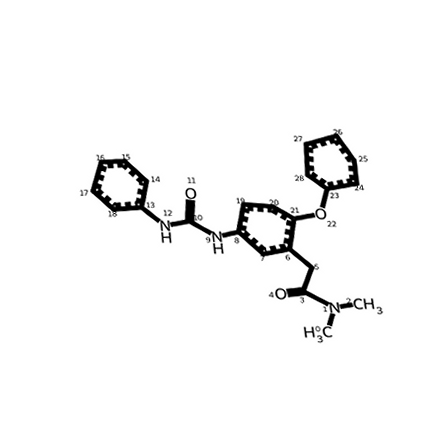 CN(C)C(=O)Cc1cc(NC(=O)Nc2ccccc2)ccc1Oc1ccccc1